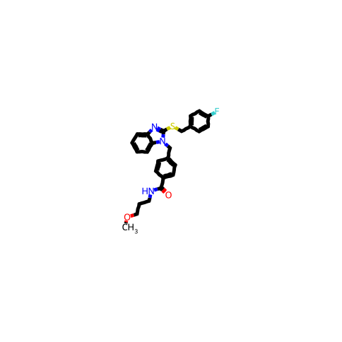 COCCCNC(=O)c1ccc(Cn2c(SCc3ccc(F)cc3)nc3ccccc32)cc1